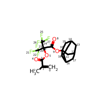 C=C(C)C(=O)OC(C(=O)OC12CC3CC(CC(C3)C1)C2)(C(F)(F)F)C(F)(F)F